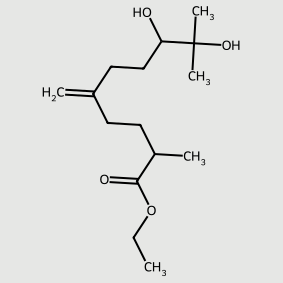 C=C(CCC(C)C(=O)OCC)CCC(O)C(C)(C)O